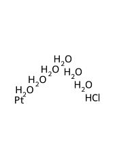 Cl.O.O.O.O.O.O.[Pt]